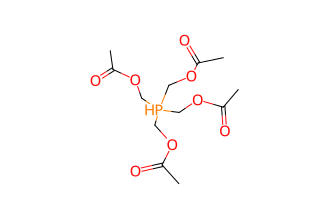 CC(=O)OC[PH](COC(C)=O)(COC(C)=O)COC(C)=O